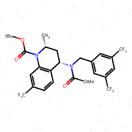 COC(=O)N(Cc1cc(C(F)(F)F)cc(C(F)(F)F)c1)[C@H]1C[C@@H](C)N(C(=O)OC(C)(C)C)c2cc(C(F)(F)F)ccc21